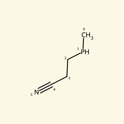 CPCCC#N